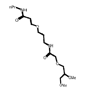 CCCNC(=O)CCOCCCNC(=O)COCC(COC)OC